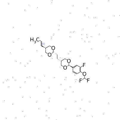 C/C=C/[C@H]1CO[C@H](CC[C@H]2CO[C@H](c3ccc(OC(F)F)c(F)c3)OC2)OC1